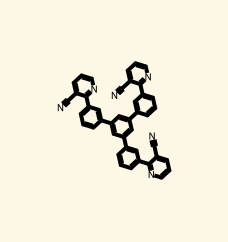 N#Cc1cccnc1-c1cccc(-c2cc(-c3cccc(-c4ncccc4C#N)c3)cc(-c3cccc(-c4ncccc4C#N)c3)c2)c1